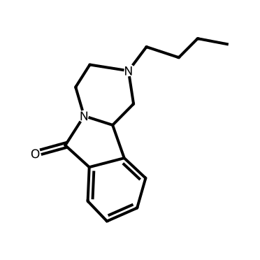 CCCCN1CCN2C(=O)c3ccccc3C2C1